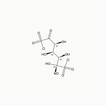 O=N[C@@](O)([C@H](O)[C@@H](O)[C@H](O)C(=O)S(=O)(=O)Cl)S(=O)(=O)Cl